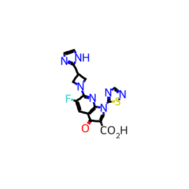 O=C(O)c1cn(-c2ncns2)c2nc(N3CC(c4ncc[nH]4)C3)c(F)cc2c1=O